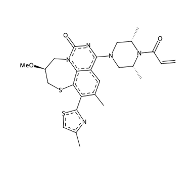 C=CC(=O)N1[C@H](C)CN(c2nc(=O)n3c4c(c(-c5nc(C)cs5)c(C)cc24)SC[C@@H](OC)C3)C[C@@H]1C